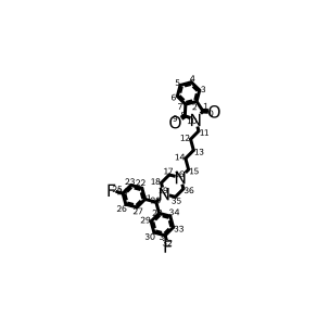 O=C1c2ccccc2C(=O)N1CCCCCN1CCN(C(c2ccc(F)cc2)c2ccc(F)cc2)CC1